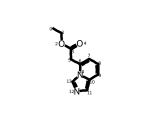 CCOC(=O)Cc1cccc2cncn12